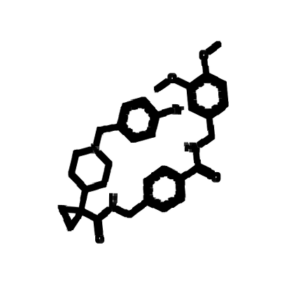 COc1ccc(CNC(=O)c2ccc(CNC(=O)C3(C4CCN(Cc5ccc(Br)cc5)CC4)CC3)cc2)cc1OC